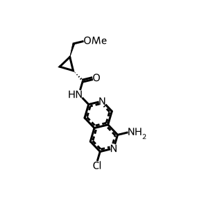 COC[C@@H]1C[C@H]1C(=O)Nc1cc2cc(Cl)nc(N)c2cn1